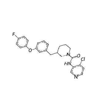 O=C(Nc1cnccc1Cl)N1CCCC(Cc2cccc(Oc3ccc(F)cc3)c2)C1